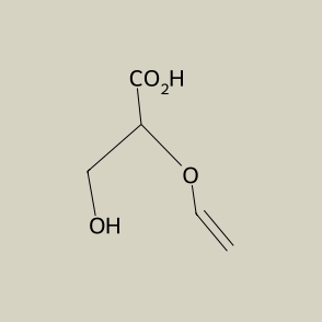 C=COC(CO)C(=O)O